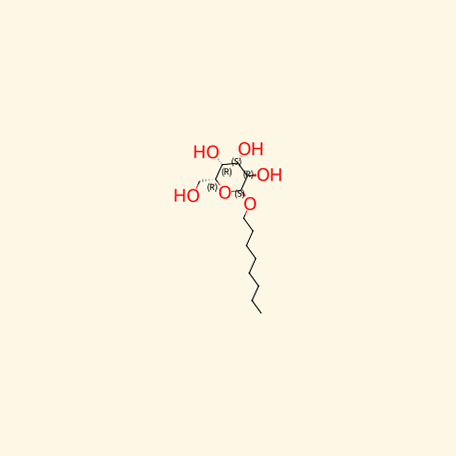 CCCCCCCCO[C@H]1O[C@H](CO)[C@H](O)[C@H](O)[C@H]1O